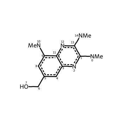 CNc1nc2cc(CO)cc(NC)c2nc1NC